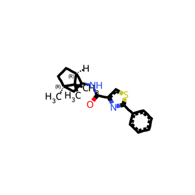 CC1(C)[C@H]2CC[C@]1(C)CC2NC(=O)c1csc(-c2ccccc2)n1